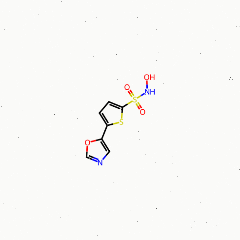 O=S(=O)(NO)c1ccc(-c2cnco2)s1